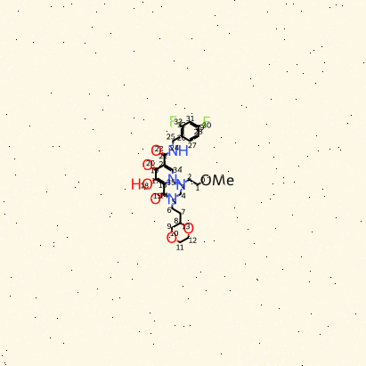 COCCN1CN(CCC2COCCO2)C(=O)c2c(O)c(=O)c(C(=O)NCc3ccc(F)cc3F)cn21